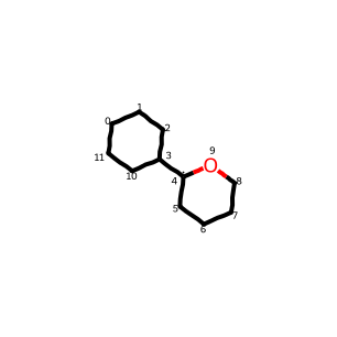 C1CCC([C]2CCCCO2)CC1